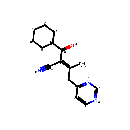 C/C(Cc1ccncn1)=C(/C#N)C(=O)C1CCCCC1